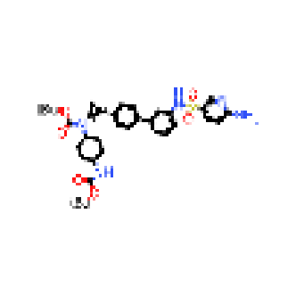 CC(C)(C)OC(=O)NC1CCC(N(C(=O)OC(C)(C)C)[C@@H]2C[C@H]2c2ccc(-c3cccc(NS(=O)(=O)c4ccc(N)nc4)c3)cc2)CC1